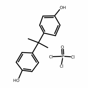 CC(C)(c1ccc(O)cc1)c1ccc(O)cc1.O=P(Cl)(Cl)Cl